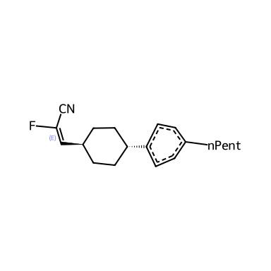 CCCCCc1ccc([C@H]2CC[C@H](/C=C(/F)C#N)CC2)cc1